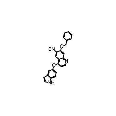 [C-]#[N+]c1cc2c(Oc3ccc4[nH]ccc4c3)ccnc2cc1OCc1ccccc1